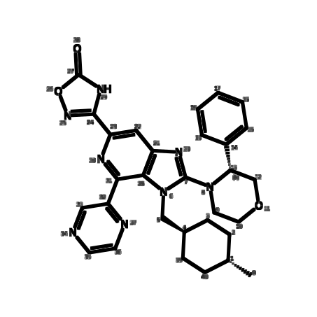 C[C@H]1CC[C@H](Cn2c(N3CCOC[C@H]3c3ccccc3)nc3cc(-c4noc(=O)[nH]4)nc(-c4cnccn4)c32)CC1